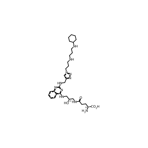 N[C@@H](CCC(=O)NC[C@@H](O)CNc1nc(NCc2cn(CCCNCCCNC3CCCCC3)nn2)nc2ccccc12)C(=O)O